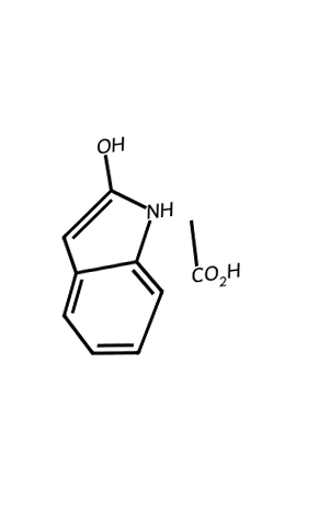 CC(=O)O.Oc1cc2ccccc2[nH]1